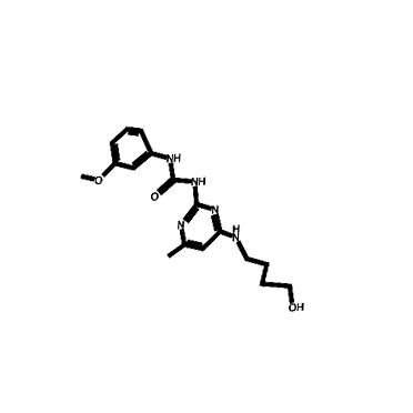 COc1cccc(NC(=O)Nc2nc(C)cc(NCCCCO)n2)c1